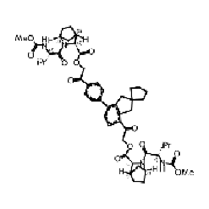 COC(=O)N[C@H](C(=O)N1[C@@H]2CC[C@@H](C2)[C@H]1C(=O)OCC(=O)c1ccc(-c2ccc(C(=O)COC(=O)[C@@H]3[C@H]4CC[C@H](C4)N3C(=O)[C@@H](NC(=O)OC)C(C)C)c3c2CC2(CCCC2)C3)cc1)C(C)C